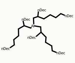 CCCCCCCCCCCCCCC(CCCCCCCCCC)[CH2][Al]([CH2]C(CCCCCCCCCC)CCCCCCCCCCCCCC)[CH2]C(CCCCCCCCCC)CCCCCCCCCCCCCC